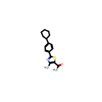 CC(=O)c1sc(-c2ccc(C3CCCCC3)cc2)nc1C